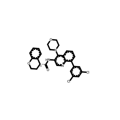 O=C(Nc1cnc2c(-c3cc(Cl)cc(Cl)c3)cccc2c1N1CCOCC1)[C@@H]1CCOc2ccccc21